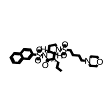 CCC[C@H]1C(=O)N(S(=O)(=O)c2ccc3ccccc3c2)[C@H]2CCN(S(=O)(=O)CCCCN3CCOCC3)[C@H]12